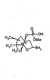 BC1C[C@@]2(OP(=O)(O)OC)C[C@H](C)C(C)(C)[C@H]2O1